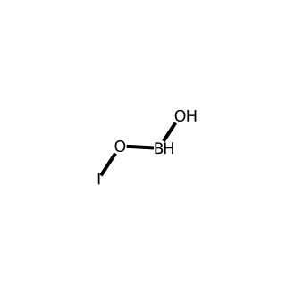 OBOI